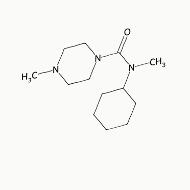 CN1CCN(C(=O)N(C)C2CCCCC2)CC1